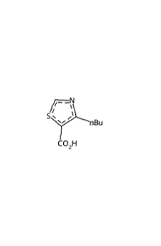 CCCCc1ncsc1C(=O)O